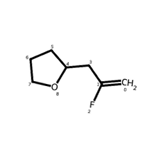 C=C(F)CC1CCCO1